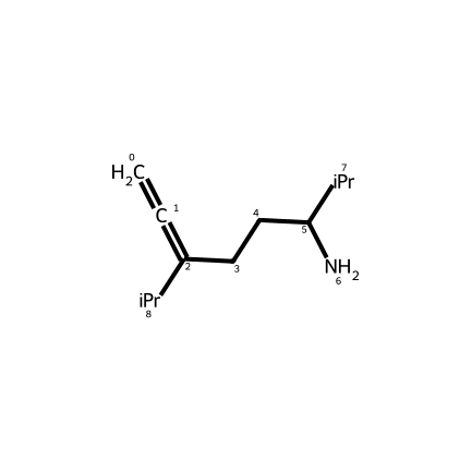 C=C=C(CCC(N)C(C)C)C(C)C